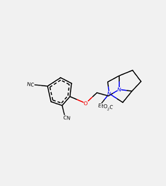 CCOC(=O)N1CC2CCC(C1)N2CCOc1ccc(C#N)cc1C#N